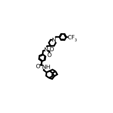 O=C(NCC12CC3CC4CC(C1)C4(C3)C2)c1ccc(CN2CC3(CCN(Cc4ccc(C(F)(F)F)cc4)CC3)OC2=O)cc1